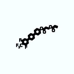 C=CC(=O)OCCC(=O)OC1CCC(C2CCC(C3CC(F)C(C(F)(F)F)C(F)C3)CC2)CC1